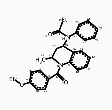 CCOc1ccc(C(=O)N2c3ccccc3C(N(C(=O)CC)c3ccccc3)CC2C)cc1